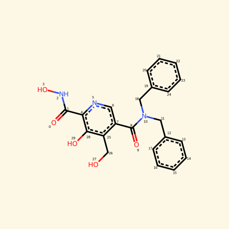 O=C(NO)c1ncc(C(=O)N(Cc2ccccc2)Cc2ccccc2)c(CO)c1O